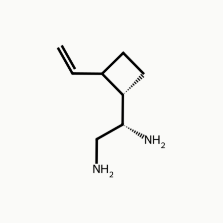 C=CC1CC[C@@H]1[C@H](N)CN